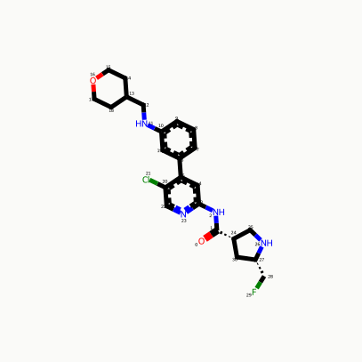 O=C(Nc1cc(-c2cccc(NCC3CCOCC3)c2)c(Cl)cn1)[C@@H]1CN[C@H](CF)C1